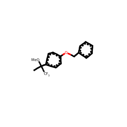 COC(C)(c1ccc(OCc2ccccc2)cc1)C(F)(F)F